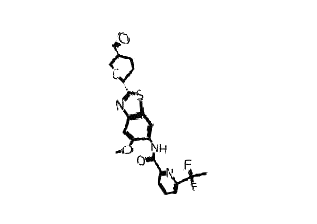 COc1cc2nc([C@H]3CC[C@H](C=O)CC3)sc2cc1NC(=O)c1cccc(C(C)(F)F)n1